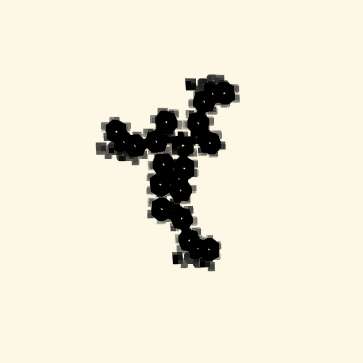 CC1(C)c2ccccc2-c2cc(-c3ccc4c(c3)c3ccccc3n4-c3ccc4c(c3)C(c3ccccc3)(c3ccccc3)c3cc(-c5cc(-n6c7ccccc7c7cc(-c8ccc9c(c8)-c8ccccc8C9(C)C)ccc76)nc(-n6c7ccccc7c7cc(-c8ccc9c(c8)-c8ccccc8C9(C)C)ccc76)n5)ccc3-4)ccc21